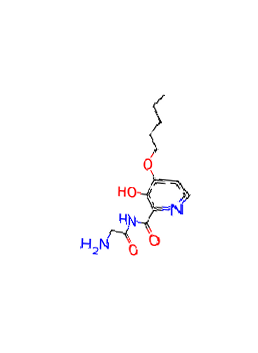 CCCCCOc1ccnc(C(=O)NC(=O)CN)c1O